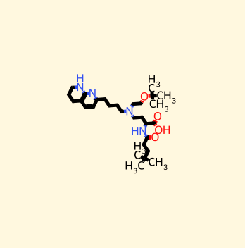 CC(C)(C)CCC(=O)NC(CCN(CCCCc1ccc2c(n1)NCCC2)CCOC(C)(C)C)C(=O)O